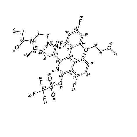 C=CC(=O)N1CCn2nc(-c3nc(OS(=O)(=O)C(F)(F)F)c4c(F)cccc4c3-c3c(F)cc(F)cc3OCCOC)cc2[C@H]1C